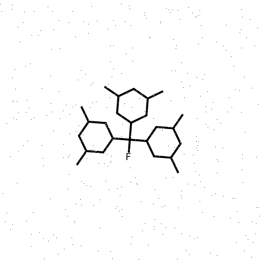 CC1CC(C)CC(C(F)(C2CC(C)CC(C)C2)C2CC(C)CC(C)C2)C1